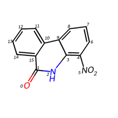 O=c1[nH]c2c([N+](=O)[O-])cccc2c2ccccc12